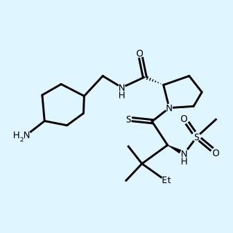 CCC(C)(C)[C@H](NS(C)(=O)=O)C(=S)N1CCC[C@H]1C(=O)NCC1CCC(N)CC1